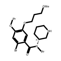 COCCCOc1cc(C(=O)N(C(C)C)[C@@H]2CCCNC2)c(Br)cc1OC(C)C